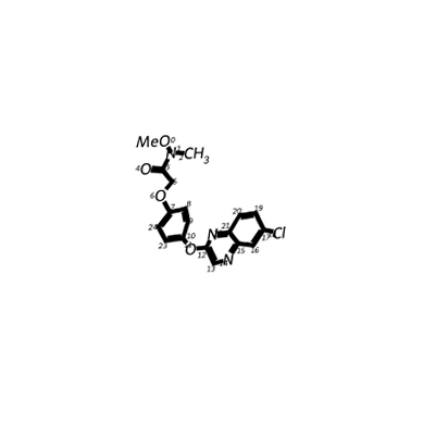 CON(C)C(=O)COc1ccc(Oc2cnc3cc(Cl)ccc3n2)cc1